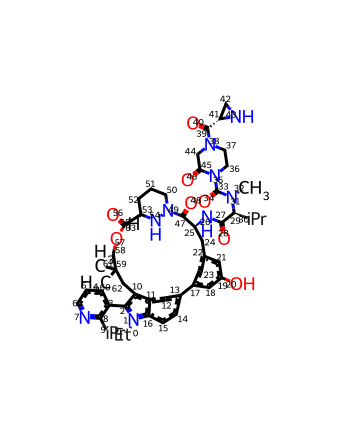 CCn1c(-c2cccnc2C(C)C)c2c3cc(ccc31)-c1cc(O)cc(c1)C[C@H](NC(=O)[C@H](C(C)C)N(C)C(=O)N1CCN(C(=O)[C@@H]3CN3)CC1=O)C(=O)N1CCC[C@H](N1)C(=O)OCC(C)(C)C2